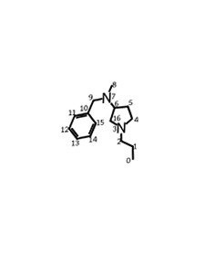 CCCN1CCC(N(C)Cc2ccccc2)C1